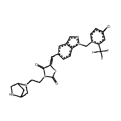 O=C1S/C(=C\c2ccc3c(cnn3Cc3ccc(Cl)cc3C(F)(F)F)c2)C(=O)N1CCN1CC2CC1CN2